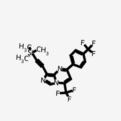 C[Si](C)(C)C#Cc1ncn2c(C(F)(F)F)cc(-c3ccc(C(F)(F)F)cc3)nc12